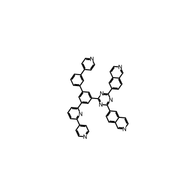 c1cc(-c2ccncc2)cc(-c2cc(-c3cccc(-c4ccncc4)n3)cc(-c3nc(-c4ccc5cnccc5c4)nc(-c4ccc5cnccc5c4)n3)c2)c1